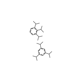 CC(C)c1cc(C(C)C)cc(C(C)C)c1.CC(C)c1cccc(C(C)C)c1C(C)C